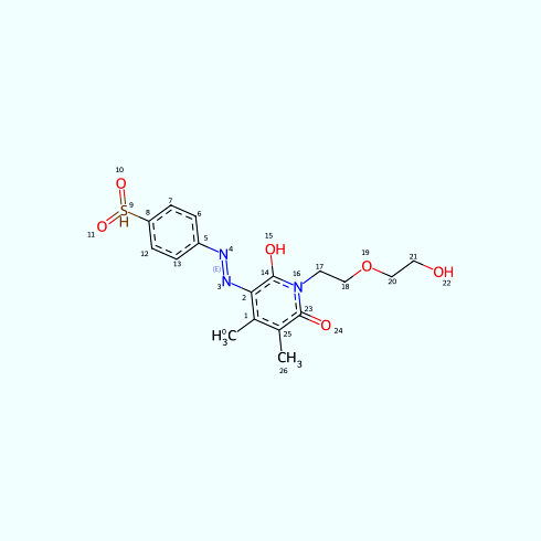 Cc1c(/N=N/c2ccc([SH](=O)=O)cc2)c(O)n(CCOCCO)c(=O)c1C